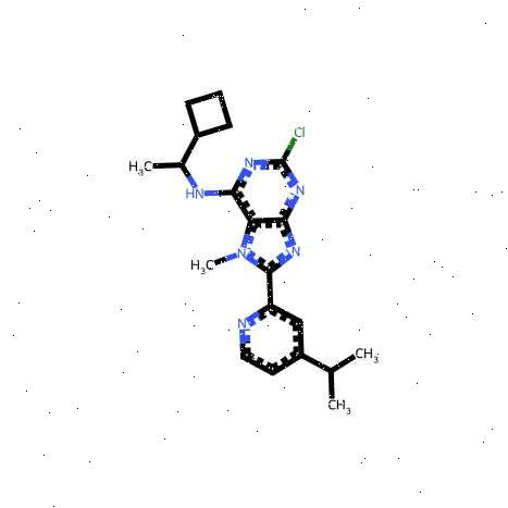 CC(C)c1ccnc(-c2nc3nc(Cl)nc(NC(C)C4CCC4)c3n2C)c1